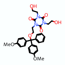 COc1ccc(C(OCCn2c(=O)n(CCO)c(=O)n(CCO)c2=O)(c2ccccc2)c2ccc(OC)cc2)cc1